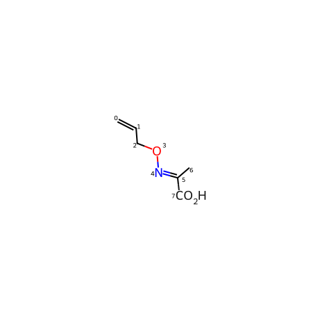 C=CCON=C(C)C(=O)O